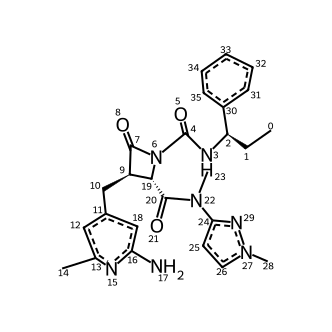 CC[C@@H](NC(=O)N1C(=O)[C@H](Cc2cc(C)nc(N)c2)[C@H]1C(=O)N(C)c1ccn(C)n1)c1ccccc1